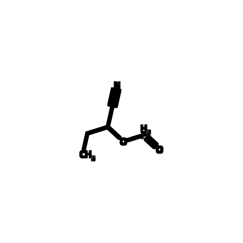 CCC(C#N)O[PH2]=O